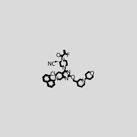 C=C(F)C(=O)N1CCN(c2nc(OCC3CCCN(C4CCOCC4)C3)nc3c2CCN(c2cccc4cccc(Cl)c24)C3)C[C@@H]1CC#N